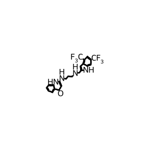 O=c1cc(NCCCNCc2cc3c(C(F)(F)F)cc(C(F)(F)F)cc3[nH]2)[nH]c2ccccc12